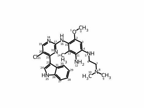 COc1cc(NCCN(C)C)c(N)c(C)c1Nc1ncc(Cl)c(-c2c[nH]c3ccccc23)n1